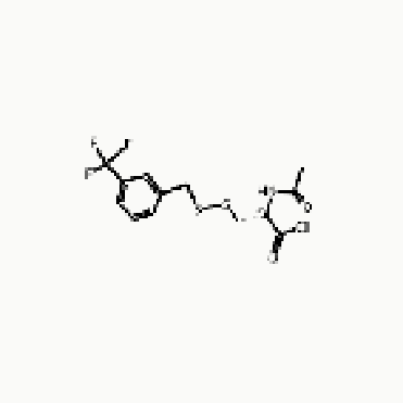 CC(=O)N[C@@H](CSSCc1cccc(C(F)(F)F)c1)C(=O)O